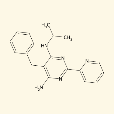 CC(C)Nc1nc(-c2ccccn2)nc(N)c1Cc1ccccc1